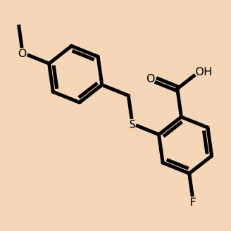 COc1ccc(CSc2cc(F)ccc2C(=O)O)cc1